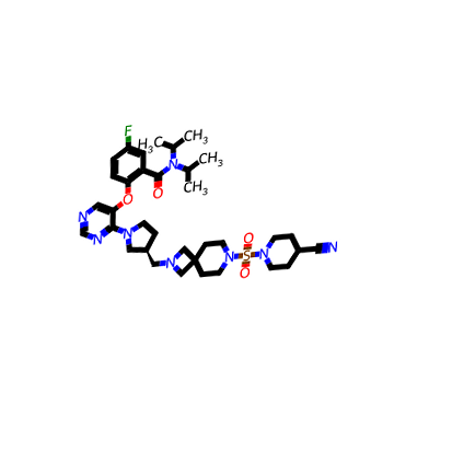 CC(C)N(C(=O)c1cc(F)ccc1Oc1cncnc1N1CC[C@@H](CN2CC3(CCN(S(=O)(=O)N4CCC(C#N)CC4)CC3)C2)C1)C(C)C